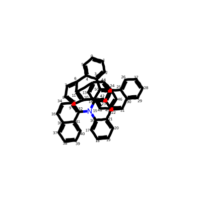 c1ccc2c(c1)-c1cccc3c1-c1cc(N(c4ccccc4-c4ccc5ccccc5c4)c4cccc5ccccc45)ccc1-c1cccc-3c1-2